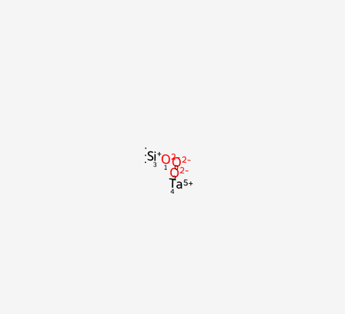 [O-2].[O-2].[O-2].[Si+].[Ta+5]